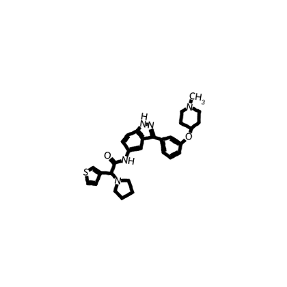 CN1CCC(Oc2cccc(-c3n[nH]c4ccc(NC(=O)C(c5ccsc5)N5CCCC5)cc34)c2)CC1